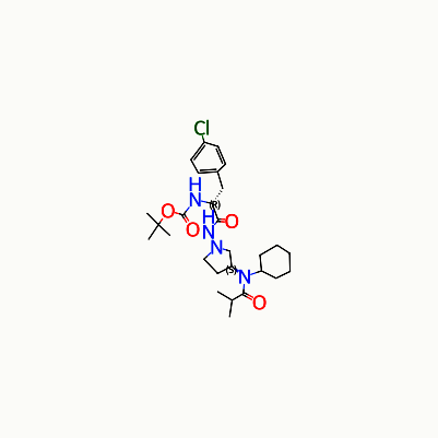 CC(C)C(=O)N(C1CCCCC1)[C@H]1CCN(NC(=O)[C@@H](Cc2ccc(Cl)cc2)NC(=O)OC(C)(C)C)C1